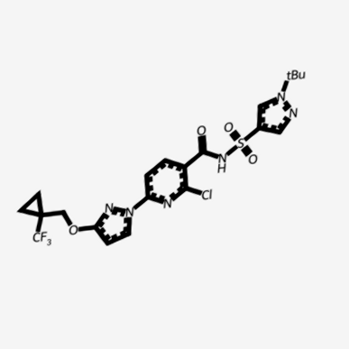 CC(C)(C)n1cc(S(=O)(=O)NC(=O)c2ccc(-n3ccc(OCC4(C(F)(F)F)CC4)n3)nc2Cl)cn1